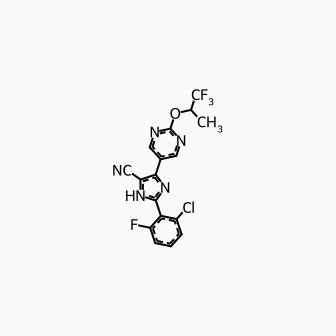 CC(Oc1ncc(-c2nc(-c3c(F)cccc3Cl)[nH]c2C#N)cn1)C(F)(F)F